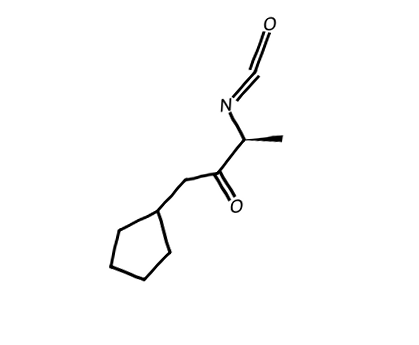 C[C@H](N=C=O)C(=O)CC1CCCC1